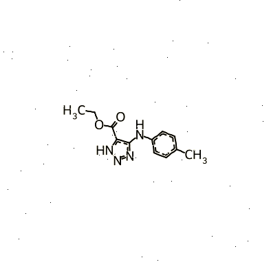 CCOC(=O)c1[nH]nnc1Nc1ccc(C)cc1